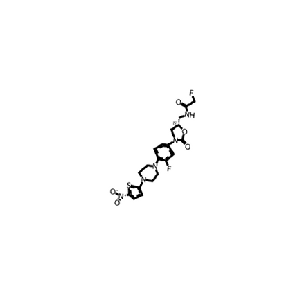 O=C(CF)NC[C@H]1CN(c2ccc(N3CCN(c4ccc([N+](=O)[O-])s4)CC3)c(F)c2)C(=O)O1